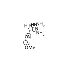 COc1ccc(Cn2cc(Cc3cc(N)nc(NN)c3N)cn2)cn1